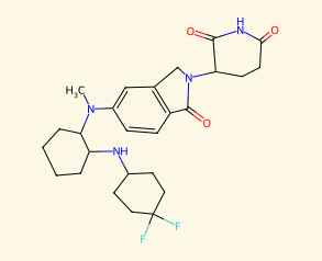 CN(c1ccc2c(c1)CN(C1CCC(=O)NC1=O)C2=O)C1CCCCC1NC1CCC(F)(F)CC1